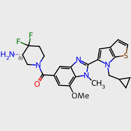 COc1cc(C(=O)N2CCC(F)(F)[C@@H](N)C2)cc2nc(-c3cc4ccsc4n3CC3CC3)n(C)c12